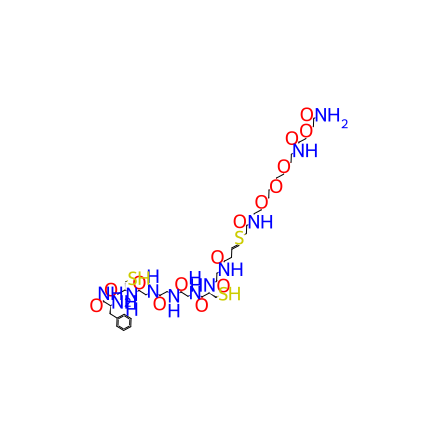 NC(=O)COCC(=O)NCCOCCOCCOCCNC(=O)CSC=CCC(=O)NCC(=O)N[C@@H](CS)C(=O)NCC(=O)NCC(=O)NCC(=O)N[C@@H](CS)C(=O)N[C@@H](Cc1ccccc1)C(N)=O